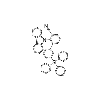 N#Cc1cccc(-c2cccc([Si](c3ccccc3)(c3ccccc3)c3ccccc3)c2)c1-n1c2ccccc2c2ccccc21